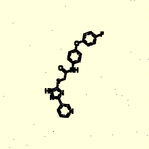 O=C(CSc1nc(-c2cccnc2)n[nH]1)Nc1ccc(Oc2ccc(F)cc2)cc1